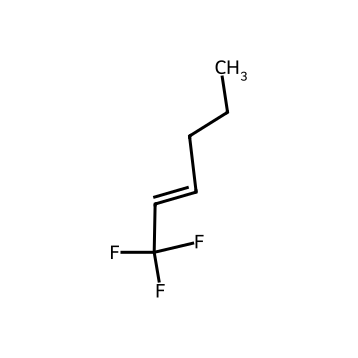 CCC/C=C/C(F)(F)F